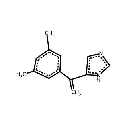 C=C(c1cc(C)cc(C)c1)c1cnc[nH]1